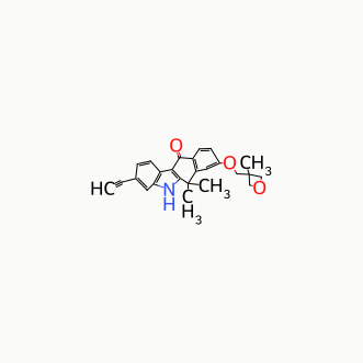 C#Cc1ccc2c3c([nH]c2c1)C(C)(C)c1cc(OCC2(C)COC2)ccc1C3=O